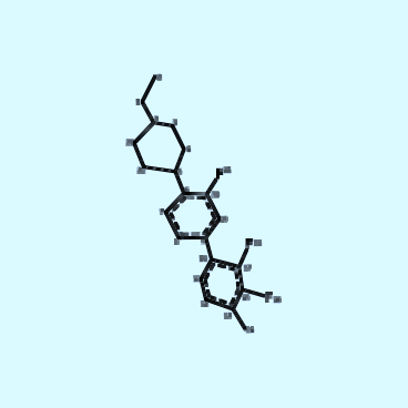 CCC1CCC(c2ccc(-c3ccc(C)c(F)c3F)cc2F)CC1